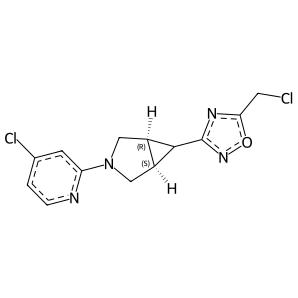 ClCc1nc(C2[C@H]3CN(c4cc(Cl)ccn4)C[C@@H]23)no1